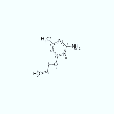 C=CCOc1cc(C)nc(N)n1